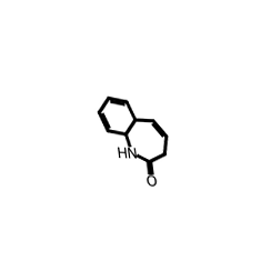 O=C1CC=CC2C=CC=CC2N1